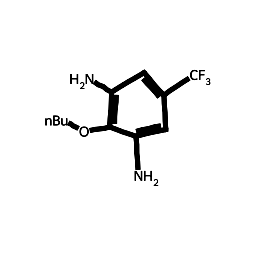 CCCCOc1c(N)cc(C(F)(F)F)cc1N